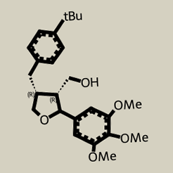 COc1cc(C2OC[C@H](Cc3ccc(C(C)(C)C)cc3)[C@@H]2CO)cc(OC)c1OC